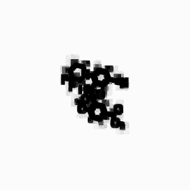 COC(=O)c1ccc(OC)c(S(=O)(=O)Nc2cc(C#N)ccc2N2CCCC(F)(F)C2)c1